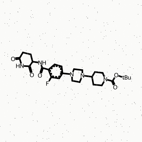 CC(C)(C)OC(=O)N1CCC(N2CCN(c3ccc(C(=O)NC4CCC(=O)NC4=O)c(F)c3)CC2)CC1